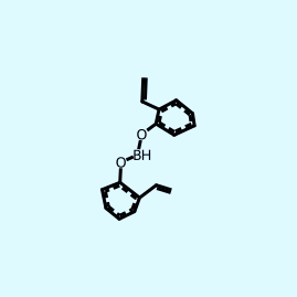 C=Cc1ccccc1OBOc1ccccc1C=C